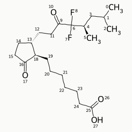 CC(C)C[C@@H](C)C(F)(F)C(=O)CC[C@H]1CCC(=O)[C@@H]1CCCCCCC(=O)O